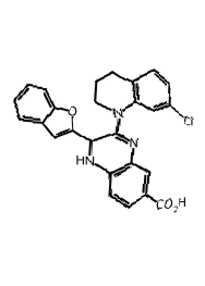 O=C(O)c1ccc2c(c1)N=C(N1CCCc3ccc(Cl)cc31)C(c1cc3ccccc3o1)N2